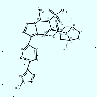 Cn1nnc(-c2ccc(-c3cnn4c(N)c(S(C)(=O)=O)c([C@H]5C[C@H]6CC[C@@H](C5)N6C(=O)CO)nc34)cn2)n1